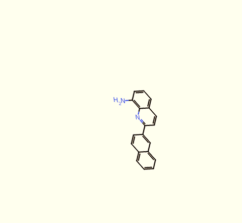 Nc1cccc2ccc(-c3ccc4ccccc4c3)nc12